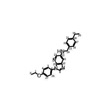 CCOc1ccc(-n2cnc3cc(NCc4ccc(CC)cc4)cnc32)cc1